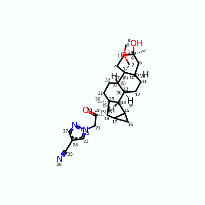 COC[C@]12CC[C@@](C)(O)C[C@H]1CC[C@H]1[C@@H]3C4CC4[C@H](C(=O)Cn4cc(C#N)cn4)[C@@]3(C)CC[C@@H]12